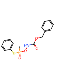 CP(=O)(ONC(=O)OCc1ccccc1)Sc1ccccc1